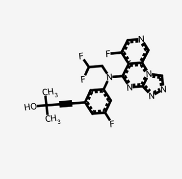 CC(C)(O)C#Cc1cc(F)cc(N(CC(F)F)c2nc3nncn3c3cncc(F)c23)c1